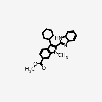 COC(=O)c1ccc2c(C3CCCCC3)c(C3=NC4C=CC=CC4N3)n(C)c2c1